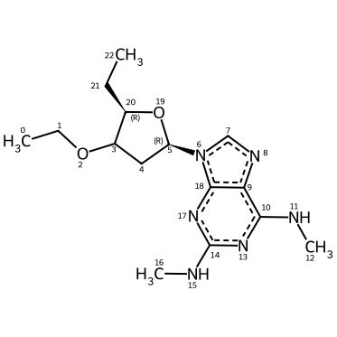 CCOC1C[C@H](n2cnc3c(NC)nc(NC)nc32)O[C@@H]1CC